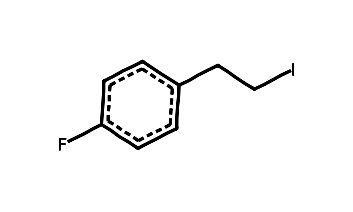 Fc1ccc(CCI)cc1